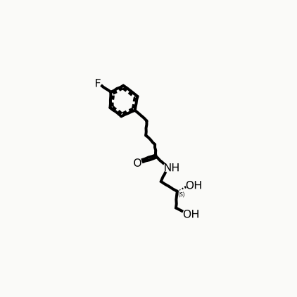 O=C(CCCc1ccc(F)cc1)NC[C@H](O)CO